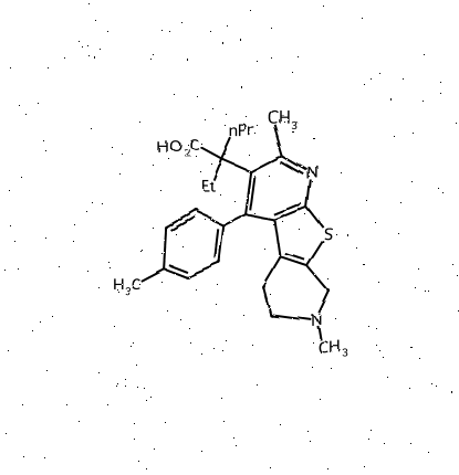 CCCC(CC)(C(=O)O)c1c(C)nc2sc3c(c2c1-c1ccc(C)cc1)CCN(C)C3